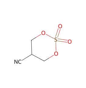 N#CC1COS(=O)(=O)OC1